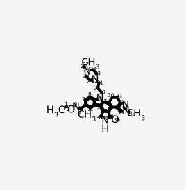 CCO/N=C(\C)c1ccc2c(c1)c1c3c(c4c(c1n2CCCN1CCN(CC)CC1)CCc1nn(C)cc1-4)C(=O)NC3